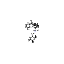 C/C(=C\CCc1cc(F)c(F)cc1F)C(=O)ON[C@H](C)c1ccccc1